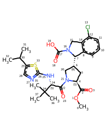 COC(=O)[C@@H]1C[C@@H](C2c3cccc(Cl)c3CN2C(=O)O)CN1C(=O)[C@@H](Nc1ncc(C(C)C)s1)C(C)(C)C